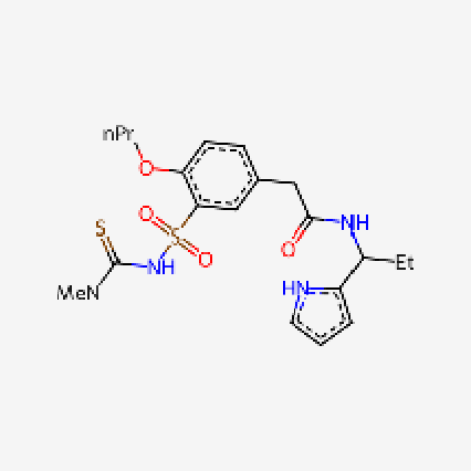 CCCOc1ccc(CC(=O)NC(CC)c2ccc[nH]2)cc1S(=O)(=O)NC(=S)NC